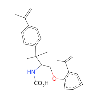 C=C(C)c1ccc(C(C)(C)C(COc2ccccc2C(=C)C)NC(=O)O)cc1